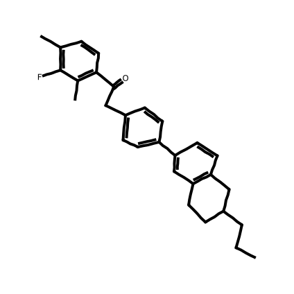 CCCC1CCc2cc(-c3ccc(CC(=O)c4ccc(C)c(F)c4C)cc3)ccc2C1